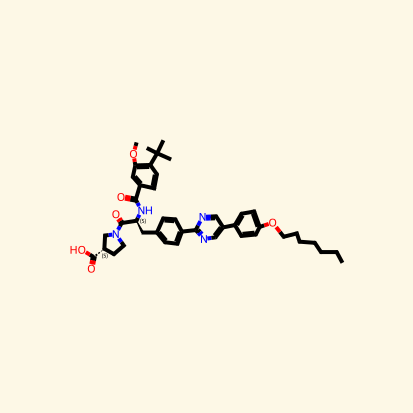 CCCCCCCOc1ccc(-c2cnc(-c3ccc(C[C@H](NC(=O)c4ccc(C(C)(C)C)c(OC)c4)C(=O)N4CC[C@H](C(=O)O)C4)cc3)nc2)cc1